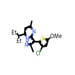 CCC(CC)c1cc(C)nc2c(-c3sc(OC)cc3Cl)c(C)nn12